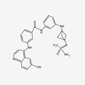 CS(N)(=O)=NC12CC(Nc3cccc(NC(=O)c4cccc(Nc5ccnc6ccc(C#N)cc56)c4)c3)(C1)C2